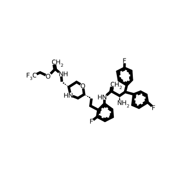 C=C(NC[C@@H]1CO[C@H](CCc2c(F)cccc2NC(=C)[C@@H](N)C(c2ccc(F)cc2)c2ccc(F)cc2)CN1)OCC(F)(F)F